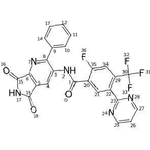 O=C(Nc1cc2c(nc1-c1ccccc1)C(=O)NC2=O)c1cc(-c2ncccn2)c(C(F)(F)F)cc1F